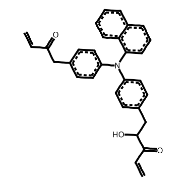 C=CC(=O)Cc1ccc(N(c2ccc(CC(O)C(=O)C=C)cc2)c2cccc3ccccc23)cc1